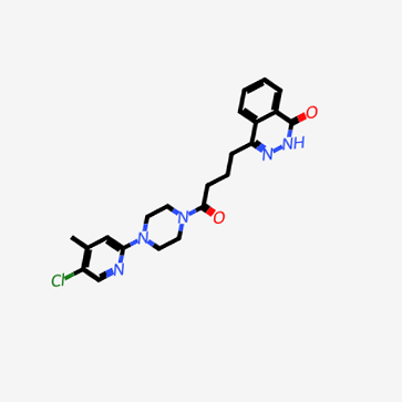 Cc1cc(N2CCN(C(=O)CCCc3n[nH]c(=O)c4ccccc34)CC2)ncc1Cl